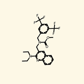 CCN(CC)c1nc2ccccc2cc1CN(Cc1cc(C(F)(F)F)cc(C(F)(F)F)c1)C(=O)OC